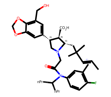 C/C=C/C(C)(C)C[C@H]1[C@H](C(=O)O)[C@@H](c2cc(CO)c3c(c2)OCO3)CN1CC(=O)N(c1ccc(F)c(C)c1)C(CCC)CCC